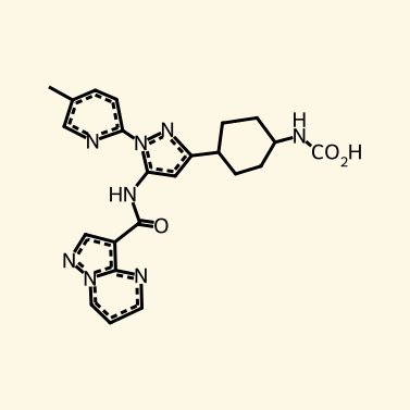 Cc1ccc(-n2nc(C3CCC(NC(=O)O)CC3)cc2NC(=O)c2cnn3cccnc23)nc1